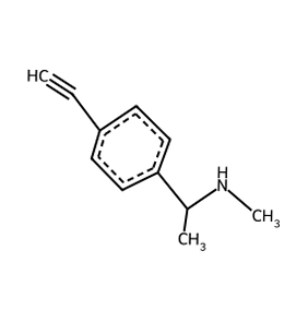 C#Cc1ccc(C(C)NC)cc1